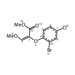 COC=C(Oc1ccc(Cl)cc1Br)C(=O)OC